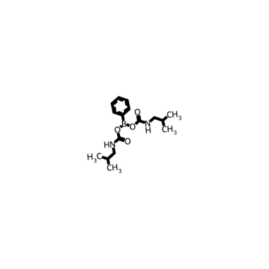 CC(C)CNC(=O)OB(OC(=O)NCC(C)C)c1ccccc1